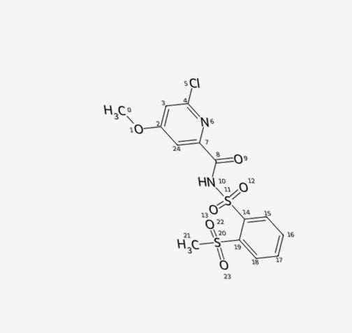 COc1cc(Cl)nc(C(=O)NS(=O)(=O)c2ccccc2S(C)(=O)=O)c1